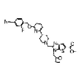 COC(=O)c1cc2nc(CN3CCC(c4cccc(OCc5ccc(C#N)cc5F)n4)CC3)n(CC3CCO3)c2s1